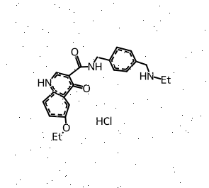 CCNCc1ccc(CNC(=O)c2c[nH]c3ccc(OCC)cc3c2=O)cc1.Cl